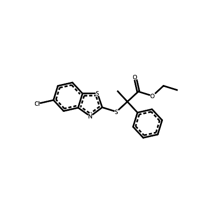 CCOC(=O)C(C)(Sc1nc2cc(Cl)ccc2s1)c1ccccc1